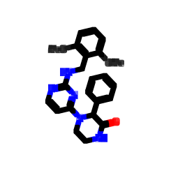 COc1cccc(OC)c1CNc1nccc(N2CCNC(=O)C2c2ccccc2)n1